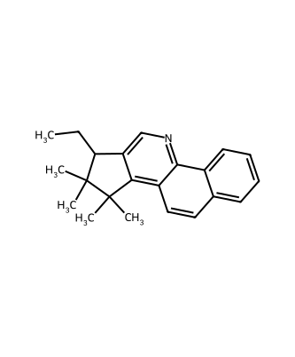 CCC1c2cnc3c(ccc4ccccc43)c2C(C)(C)C1(C)C